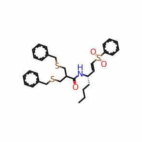 CCCC[C@@H](/C=C/S(=O)(=O)c1ccccc1)NC(=O)C(CSCc1ccccc1)CSCc1ccccc1